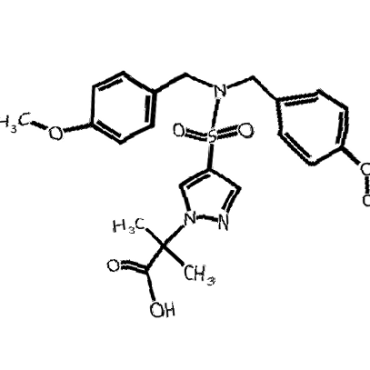 COc1ccc(CN(Cc2ccc(OC)cc2)S(=O)(=O)c2cnn(C(C)(C)C(=O)O)c2)cc1